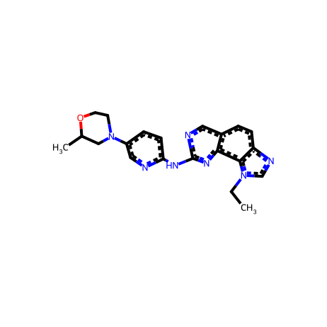 CCn1cnc2ccc3cnc(Nc4ccc(N5CCOC(C)C5)cn4)nc3c21